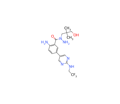 CC(C)(CO)CN(N)C(=O)c1cc(-c2cnc(NCC(F)(F)F)nc2)ccc1N